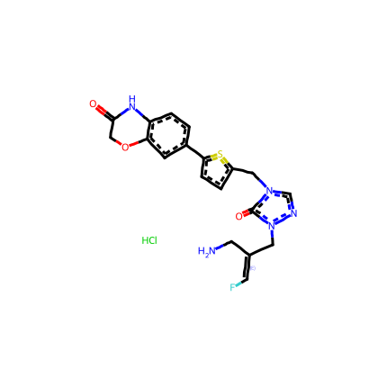 Cl.NC/C(=C\F)Cn1ncn(Cc2ccc(-c3ccc4c(c3)OCC(=O)N4)s2)c1=O